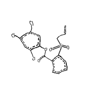 C=CCS(=O)(=O)c1ccccc1C(=O)Oc1cc(Cl)c(Cl)cc1Cl